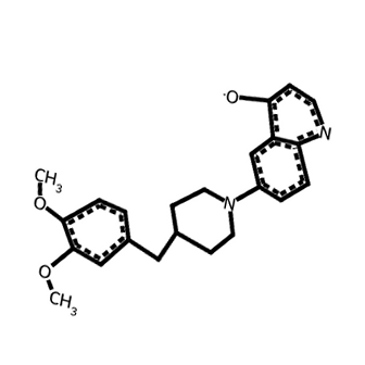 COc1ccc(CC2CCN(c3ccc4nccc([O])c4c3)CC2)cc1OC